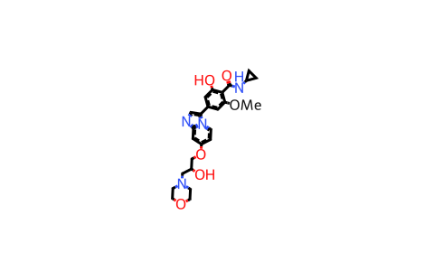 COc1cc(-c2cnc3cc(OCC(O)CN4CCOCC4)ccn23)cc(O)c1C(=O)NC1CC1